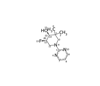 CC1(C)CN(c2ncccn2)C[C@@H](F)[C@H]1O